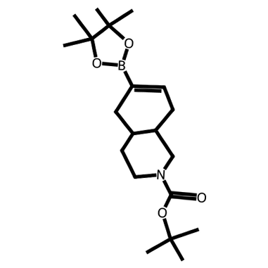 CC(C)(C)OC(=O)N1CCC2CC(B3OC(C)(C)C(C)(C)O3)=CCC2C1